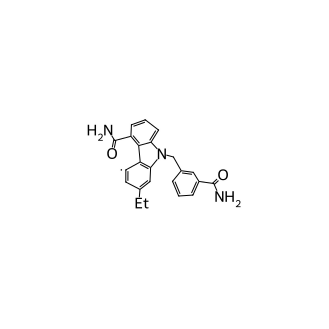 CCc1c[c]c2c3c(C(N)=O)cccc3n(Cc3cccc(C(N)=O)c3)c2c1